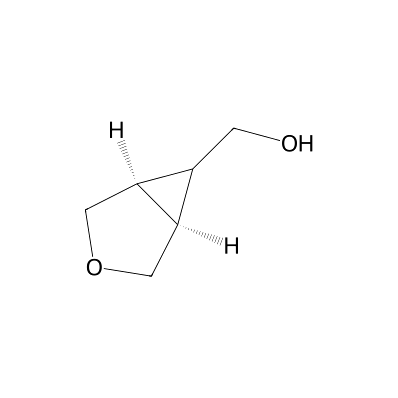 OCC1[C@H]2COC[C@@H]12